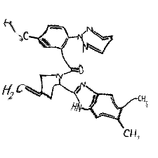 C=C1CC(c2nc3cc(C)c(C)cc3[nH]2)N(C(=O)c2cc(C)ccc2-n2nccn2)C1